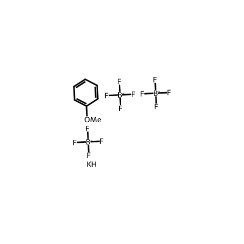 COc1ccccc1.F[B-](F)(F)F.F[B-](F)(F)F.F[B-](F)(F)F.[KH]